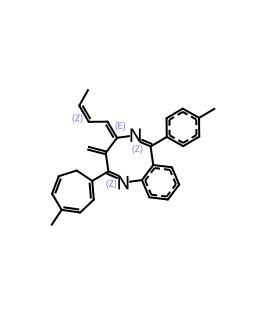 C=C1/C(C2=CC=C(C)C=CC2)=N\c2ccccc2\C(c2ccc(C)cc2)=N/C1=C/C=C\C